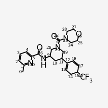 Cc1cccc(C(=O)NC2CC(C3=CCC(C(F)(F)F)C=C3)CN(C(=O)N3CCOCC3)C2)n1